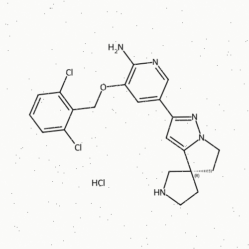 Cl.Nc1ncc(-c2cc3n(n2)CC[C@@]32CCNC2)cc1OCc1c(Cl)cccc1Cl